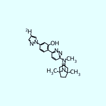 [2H]c1cnn(-c2ccc(-c3ccc(N(C)C4C[C@]5(C)CC[C@](C)(C4)N5)nn3)c(O)c2)c1